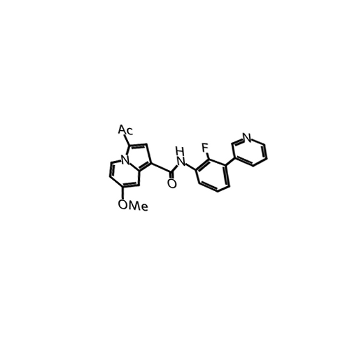 COc1ccn2c(C(C)=O)cc(C(=O)Nc3cccc(-c4cccnc4)c3F)c2c1